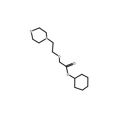 O=C(COCCN1CCOCC1)OC1CCCCC1